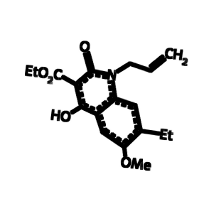 C=CCn1c(=O)c(C(=O)OCC)c(O)c2cc(OC)c(CC)cc21